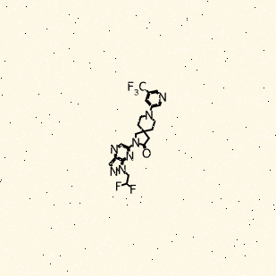 O=C1CC2(CCN(c3cncc(C(F)(F)F)c3)CC2)CN1c1cnc2cnn(CC(F)F)c2n1